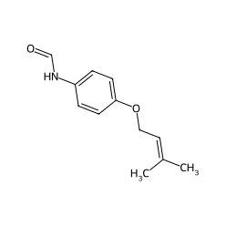 CC(C)=CCOc1ccc(NC=O)cc1